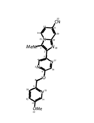 CNc1c(-c2cnc(OCc3ccc(OC)cn3)cn2)nc2cc(C#N)ccn12